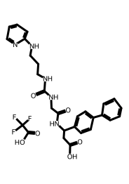 O=C(O)C(F)(F)F.O=C(O)CC(NC(=O)CNC(=O)NCCCNc1ccccn1)c1ccc(-c2ccccc2)cc1